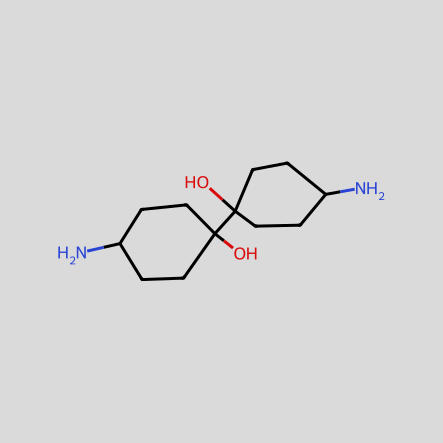 NC1CCC(O)(C2(O)CCC(N)CC2)CC1